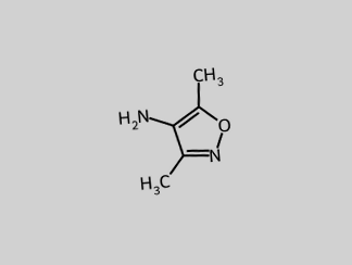 Cc1noc(C)c1N